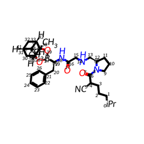 CC(C)CCCC(C#N)C(=O)N1CCC[C@@H]1CNCC(=O)N[C@@H](Cc1ccccc1)B1O[C@@H]2C[C@@H]3C[C@@H](C3(C)C)[C@]2(C)O1